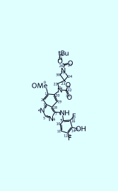 COc1cc2ncnc(Nc3ccc(F)c(O)c3F)c2cc1N1CC2(CN(C(=O)OC(C)(C)C)C2)OC1=O